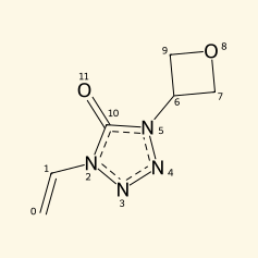 C=Cn1nnn(C2COC2)c1=O